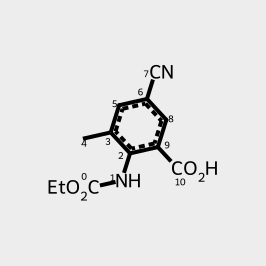 CCOC(=O)Nc1c(C)cc(C#N)cc1C(=O)O